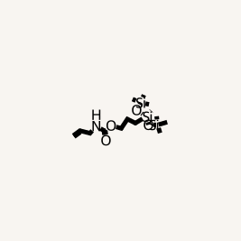 C=CCNC(=O)OCCC[Si](C)(O[Si](C)(C)C)O[Si](C)(C)C